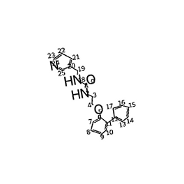 O=C(NCCOc1ccccc1-c1ccccc1)NCc1cccnc1